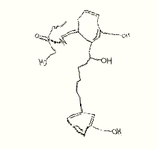 O=P(O)(O)N=C1CC=CC(O)=C1C(O)CCCc1cccc(O)c1